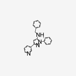 [c]1ccccc1-n1nc(-c2cccnc2)cc1NCc1ccccc1